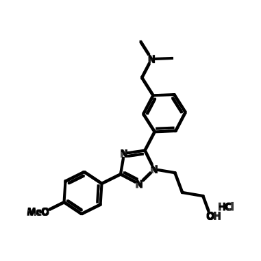 COc1ccc(-c2nc(-c3cccc(CN(C)C)c3)n(CCCO)n2)cc1.Cl